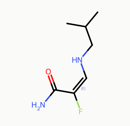 CC(C)CN/C=C(/F)C(N)=O